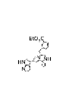 CCOC(=O)c1cccc(Cc2c[nH]c(=O)c3cc(-c4c[nH]c5ncccc45)cn23)c1